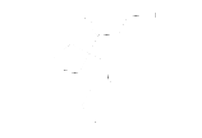 O=C(CCO)C(CO)(CO)C(=O)CCO